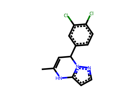 CC1=CC(c2ccc(Cl)c(Cl)c2)n2nccc2N1